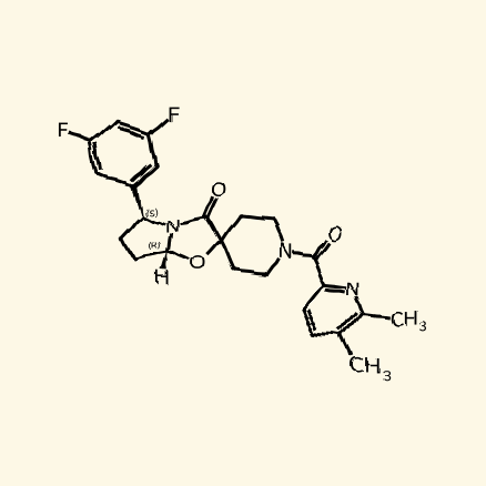 Cc1ccc(C(=O)N2CCC3(CC2)O[C@@H]2CC[C@@H](c4cc(F)cc(F)c4)N2C3=O)nc1C